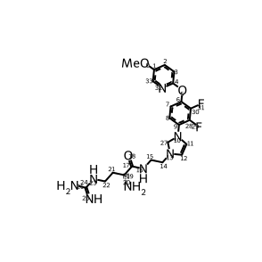 COc1ccc(Oc2ccc(N3C=CN(CCNC(=O)[C@H](N)CCNC(=N)N)C3)c(F)c2F)nc1